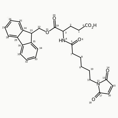 O=C(O)CCC(NC(=O)CCCCCN1C(=O)C=CC1=O)C(=O)OCC1c2ccccc2-c2ccccc21